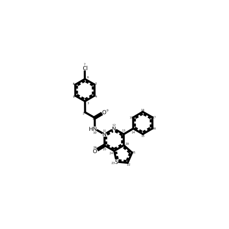 O=C(Cc1ccc(Cl)cc1)Nn1nc(-c2ccccc2)c2ccsc2c1=O